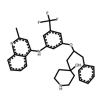 Cc1cc(Nc2cc(OC(Cc3ccccc3)CC3(O)CCNCC3)cc(C(F)(F)F)c2)c2ccccc2n1